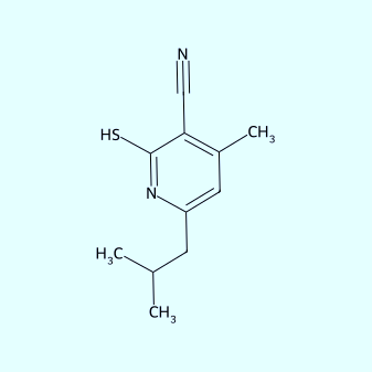 Cc1cc(CC(C)C)nc(S)c1C#N